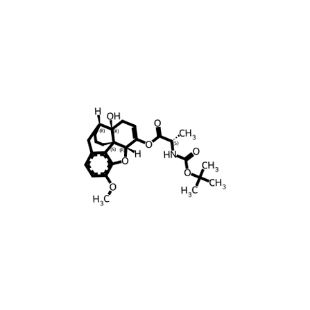 COc1ccc2c3c1O[C@H]1C(OC(=O)[C@H](C)NC(=O)OC(C)(C)C)=CC[C@@]4(O)[C@H](CCC[C@]314)C2